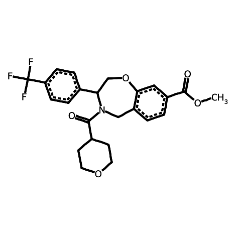 COC(=O)c1ccc2c(c1)OCC(c1ccc(C(F)(F)F)cc1)N(C(=O)C1CCOCC1)C2